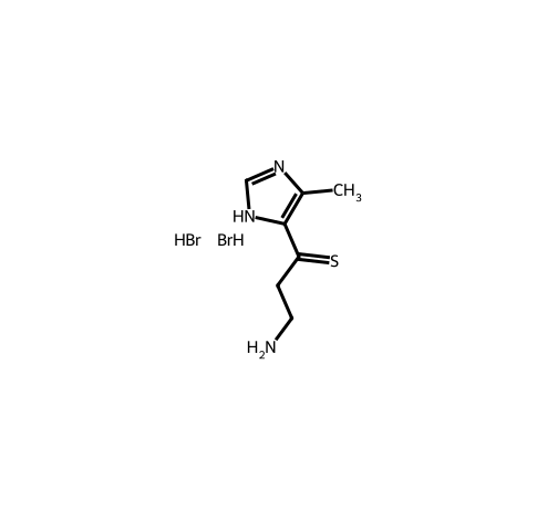 Br.Br.Cc1nc[nH]c1C(=S)CCN